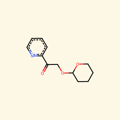 O=C(COC1CCCCO1)c1ccccn1